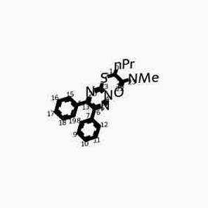 CCCC(Sc1nnc(-c2ccccc2)c(-c2ccccc2)n1)C(=O)NC